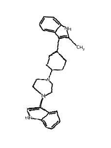 Cc1[nH]c2ccccc2c1C1CCC(N2CCN(c3c[nH]c4ccccc34)CC2)CC1